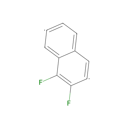 Fc1[c]cc2cc[c]cc2c1F